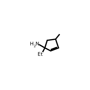 CCC1(N)C=CC(C)C1